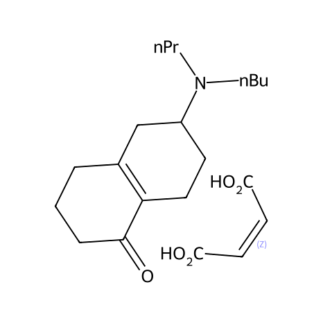 CCCCN(CCC)C1CCC2=C(CCCC2=O)C1.O=C(O)/C=C\C(=O)O